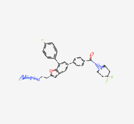 [N-]=[N+]=NCCc1cc2cc(-c3ccc(C(=O)N4CCC(F)(F)CC4)cc3)cc(-c3ccc(F)cc3)c2o1